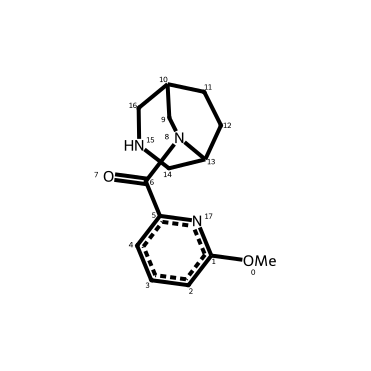 COc1cccc(C(=O)N2CC3CCC2CNC3)n1